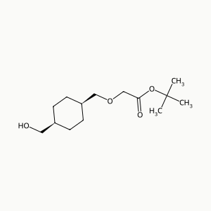 CC(C)(C)OC(=O)COC[C@H]1CC[C@@H](CO)CC1